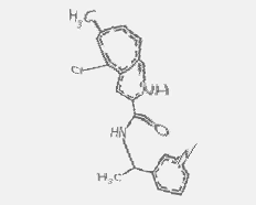 Cc1ccc2[nH]c(C(=O)NC(C)c3cccnc3)cc2c1Cl